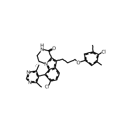 Cc1cc(OCCCc2c3n(c4c(-c5c(C)ncnc5C)c(Cl)ccc24)[C@H](C)CNC3=O)cc(C)c1Cl